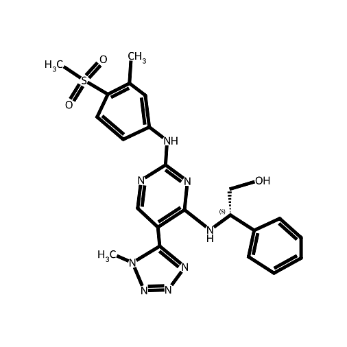 Cc1cc(Nc2ncc(-c3nnnn3C)c(N[C@H](CO)c3ccccc3)n2)ccc1S(C)(=O)=O